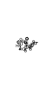 CCOC(=O)N1CCN(C(=O)[C@H](CCC(=O)O)NC(=O)c2cc(OCC(=O)N3CCC[C@H]3C(=O)NCC3CC3)n(-c3ccccc3)n2)C[C@@H]1C